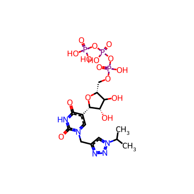 CC(C)n1cc(Cn2cc([C@@H]3O[C@H](COP(=O)(O)OP(=O)(O)OP(=O)(O)O)C(O)[C@@H]3O)c(=O)[nH]c2=O)nn1